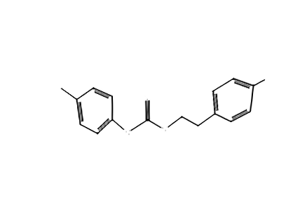 Cc1ccc(CCNC(=O)Nc2ccc(C(C)C)cc2)cc1